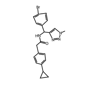 Cn1cc(C(NC(=O)Cc2ccc(C3CC3)cc2)c2ccc(Br)cc2)nn1